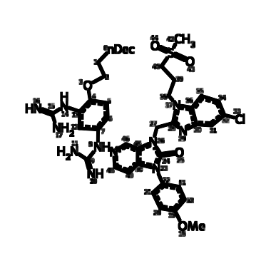 CCCCCCCCCCCCOc1ccc(NC(=N)N)cc1NC(=N)N.COc1ccc(-n2c(=O)n(Cc3nc4cc(Cl)ccc4n3CCCS(C)(=O)=O)c3cnccc32)cc1